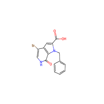 O=C(O)c1cc2c(Br)c[nH]c(=O)c2n1Cc1ccccc1